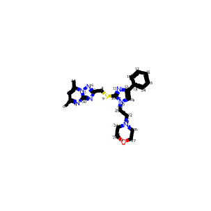 Cc1cc(C)n2nc(CSc3nc(-c4ccccc4)cn3CCN3CCOCC3)nc2n1